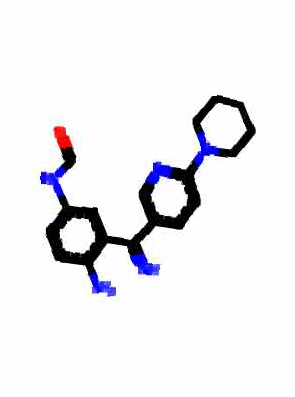 N=C(c1ccc(N2CCCCC2)nc1)c1cc(NC=O)ccc1N